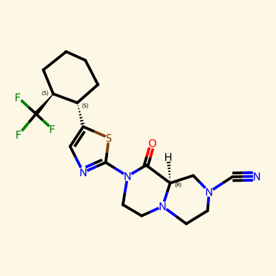 N#CN1CCN2CCN(c3ncc([C@H]4CCCC[C@@H]4C(F)(F)F)s3)C(=O)[C@H]2C1